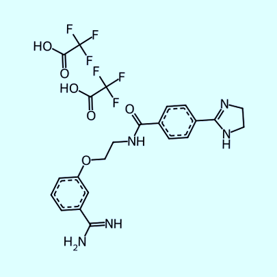 N=C(N)c1cccc(OCCNC(=O)c2ccc(C3=NCCN3)cc2)c1.O=C(O)C(F)(F)F.O=C(O)C(F)(F)F